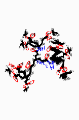 CC(C)(C)OC(=O)CCC(CCC(=O)O)(CCC(=O)OC(C)(C)C)CC(=O)CCC(N)(CCC(=O)NC(CCC(=O)OC(C)(C)C)(CCC(=O)OC(C)(C)C)CCC(=O)OC(C)(C)C)CCC(=O)NC(CCC(=O)OC(C)(C)C)(CCC(=O)OC(C)(C)C)CCC(=O)OC(C)(C)C